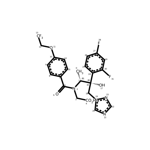 C[C@@H](N(CC(=O)O)C(=O)c1ccc(OCC(F)(F)F)cc1)[C@](O)(Cn1cncn1)c1ccc(F)cc1F